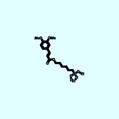 CCO[Si](CCCCCCOC(=O)C=Cc1ccc(OC)c(OC)c1)(OCC)OCC